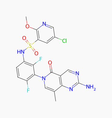 COc1ncc(Cl)cc1S(=O)(=O)Nc1ccc(F)c(-n2cc(C)c3nc(N)ncc3c2=O)c1F